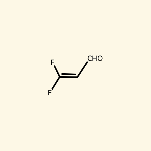 O=CC=C(F)F